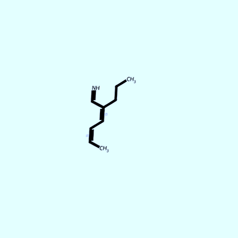 C/C=C\C=C(/C=N)CCC